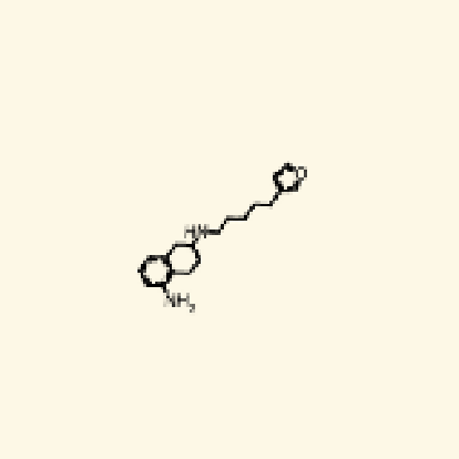 Nc1cccc2c1CCC(NCCCCCc1ccoc1)C2